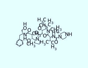 CC[C@H](C)[C@@H]([C@@H](CC(=O)N1CCC[C@H]1[C@H](OC)[C@@H](C)C(=O)N[C@H](CO)Cc1ccccc1)OC)N(C)C(=O)[C@@H](NC(=O)N1CCNC[C@H]1C)C(C)C